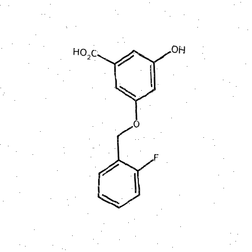 O=C(O)c1cc(O)cc(OCc2ccccc2F)c1